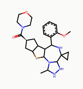 COc1ccccc1C1NC2(CC2)C2NNC(C)N2C2SC3C[C@@H](C(=O)N4CCOCC4)CC3C12